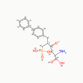 NC(CC(=O)C(Cc1ccc(-c2ccccc2)cc1)CP(=O)(O)O)C(=O)O